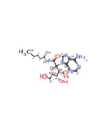 CCCCC(=O)NC(=O)[C@@]1(n2cnc3c(N)ncnc32)O[C@H](CO)[C@@H](O)[C@H]1O